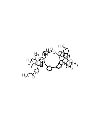 C=CC(=O)N1CC[C@H](C(=O)N(C)C(C(=O)N[C@H]2Cc3cccc(c3)-c3ccc4c(c3)c(c(-c3cc5c(nc3[C@H](C)OC)CCN(C)C5)n4CC)CC(C)(C)COC(=O)[C@@H]3CCCN(N3)C2=O)C(C)C)C1